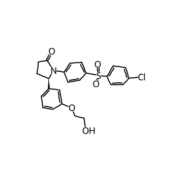 O=C1CC[C@H](c2cccc(OCCO)c2)N1c1ccc(S(=O)(=O)c2ccc(Cl)cc2)cc1